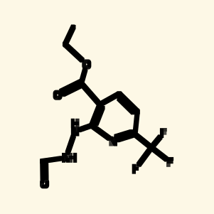 CCOC(=O)c1ccc(C(F)(F)F)nc1NNC=O